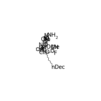 CCCCCCCCCCCCCCCCCCC[C@H](COP(=O)(OC[C@](C#N)(C[C@@H](OC(C)(C)O)c1ccc2c(N)ncnn12)OC)Oc1ccccc1Cl)OCc1cc(F)cc(C#N)c1